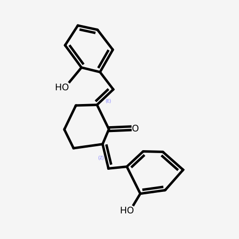 O=C1/C(=C\c2ccccc2O)CCC/C1=C\c1ccccc1O